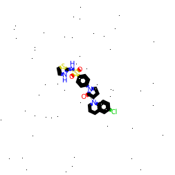 O=C1[C@@H](N2CCCc3cc(Cl)ccc32)CCN1c1ccc(S(=O)(=O)NC2NC=CS2)cc1